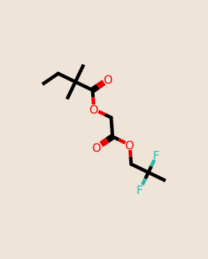 CCC(C)(C)C(=O)OCC(=O)OCC(C)(F)F